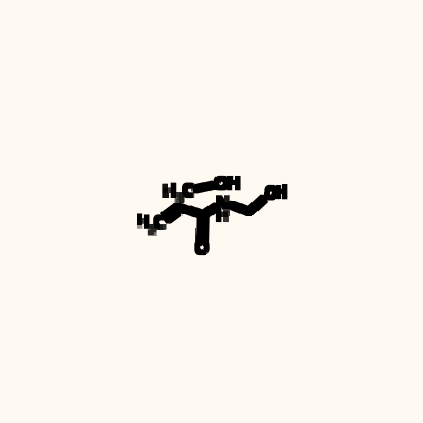 C=CC(=O)NCO.CO